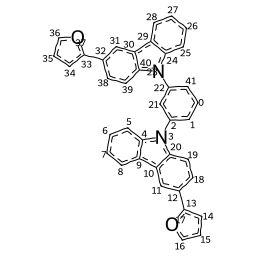 c1cc(-n2c3ccccc3c3cc(-c4ccco4)ccc32)cc(-n2c3ccccc3c3cc(-c4ccco4)ccc32)c1